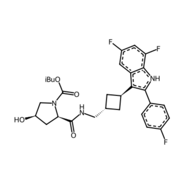 CC(C)COC(=O)N1C[C@H](O)C[C@@H]1C(=O)NC[C@H]1C[C@H](c2c(-c3ccc(F)cc3)[nH]c3c(F)cc(F)cc32)C1